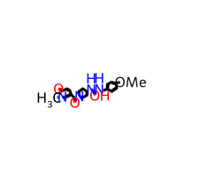 COc1ccc(CNC(O)NC2CCN(C(=O)c3ccc(=O)n(C)c3)CC2)cc1